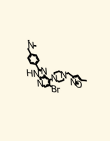 Cc1cc(CN2CCN(c3c(Br)cnc4[nH]c(-c5ccc(CN(C)C)cc5)nc34)CC2)no1